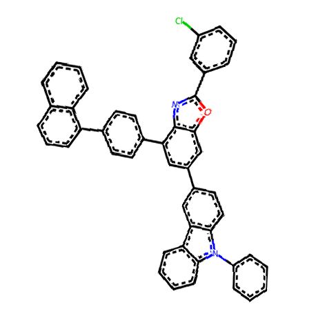 Clc1cccc(-c2nc3c(-c4ccc(-c5cccc6ccccc56)cc4)cc(-c4ccc5c(c4)c4ccccc4n5-c4ccccc4)cc3o2)c1